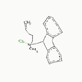 C=CC[Si](C)(Cl)C1c2ccccc2-c2ccccc21